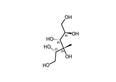 C[C@](O)([C@H](O)[C@H](O)CO)[C@@H](O)CO